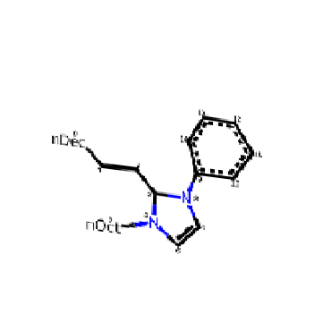 CCCCCCCCCCCCC1N(CCCCCCCC)C=CN1c1ccccc1